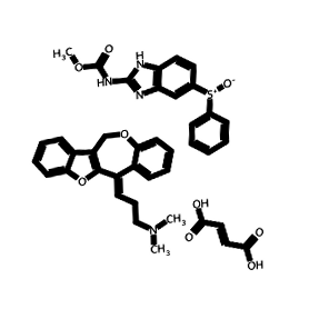 CN(C)CC/C=C1\c2ccccc2OCc2c1oc1ccccc21.COC(=O)Nc1nc2cc([S+]([O-])c3ccccc3)ccc2[nH]1.O=C(O)/C=C/C(=O)O